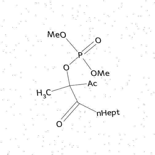 CCCCCCCC(=O)C(C)(OP(=O)(OC)OC)C(C)=O